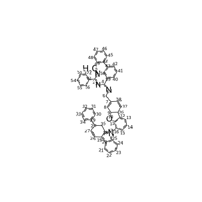 C=N/C(=N\C(=N/CC1=CC2Oc3c(cccc3-n3c4c(c5ccccc53)C=CC(c3ccccc3)C4)C2C=C1)c1cccc(-c2ccccc2)c1)c1ccccc1